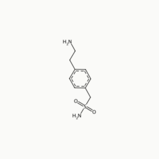 NCCc1ccc(CS(N)(=O)=O)cc1